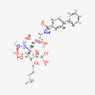 CSCCCO[C@]1(C(=O)O)C[C@H](O)[C@@H](NC(C)=O)[C@H]([C@H](O)[C@H](O)CNC(=O)c2ccc(-c3ccccc3)cc2)O1